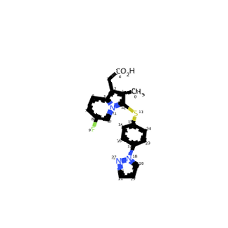 Cc1c(CC(=O)O)c2ccc(F)cn2c1Sc1ccc(-n2cccn2)cc1